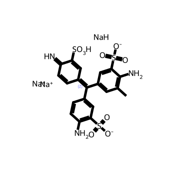 Cc1cc(/C(=C2/C=CC(=N)C(S(=O)(=O)O)=C2)c2ccc(N)c(S(=O)(=O)[O-])c2)cc(S(=O)(=O)[O-])c1N.[Na+].[Na+].[NaH]